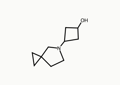 OC1CC(N2CCC3(CC3)C2)C1